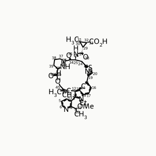 CCn1c(-c2cccnc2[C@H](C)OC)c2c3cc(ccc31)-c1csc(n1)C[C@H](NC(=O)[C@@H]1[C@@H](C)[C@H]1C(=O)O)C(=O)N1CCC[C@H](N1)C(=O)OCC(C)(C)C2